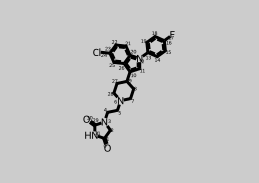 O=C1CN(CCN2CCC(c3cn(-c4ccc(F)cc4)c4ccc(Cl)cc34)CC2)C(=O)N1